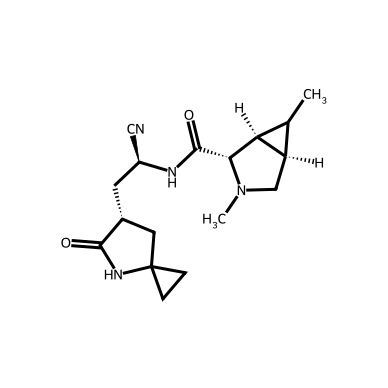 CC1[C@H]2[C@@H]1CN(C)[C@@H]2C(=O)N[C@H](C#N)C[C@@H]1CC2(CC2)NC1=O